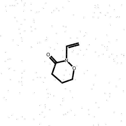 C=CN1OCCCC1=O